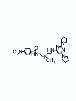 CN(CCNC(=O)c1ccc([N+](=O)[O-])cc1)CCNc1cc(N2CCCC2)nc(N2CCCC2)n1